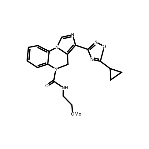 COCCNC(=O)N1Cc2c(-c3noc(C4CC4)n3)ncn2-c2ccccc21